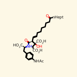 CCCCCCCC(=O)CCCCCC/C=C/[C@H](C(=O)N[C@@H](Cc1ccc(NC(C)=O)cc1)C(=O)O)[C@@](O)(CC(=O)O)C(=O)O